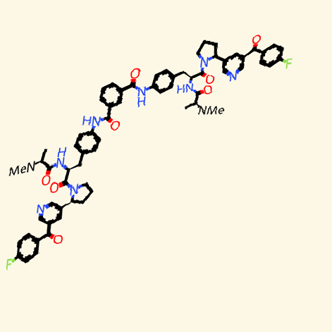 CN[C@@H](C)C(=O)N[C@@H](Cc1ccc(NC(=O)c2cccc(C(=O)Nc3ccc(C[C@H](NC(=O)[C@H](C)NC)C(=O)N4CCC[C@H]4c4cncc(C(=O)c5ccc(F)cc5)c4)cc3)c2)cc1)C(=O)N1CCCC1c1cncc(C(=O)c2ccc(F)cc2)c1